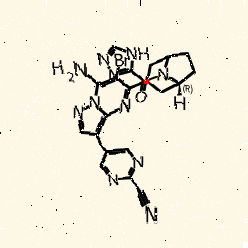 N#Cc1ncc(-c2cnn3c(N)c(Br)c(C4CC5CC[C@H](C4)N5C(=O)c4nnc[nH]4)nc23)cn1